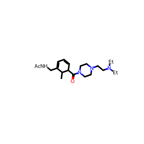 CCN(CC)CCN1CCN(C(=O)C2C=CC=C(CNC(C)=O)C2C)CC1